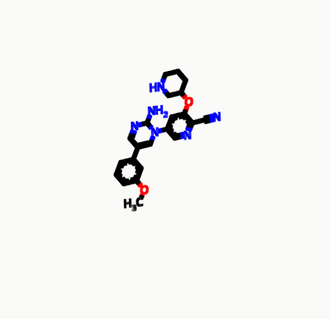 COc1cccc(C2=CN(c3cnc(C#N)c(OC4CCCNC4)c3)C(N)N=C2)c1